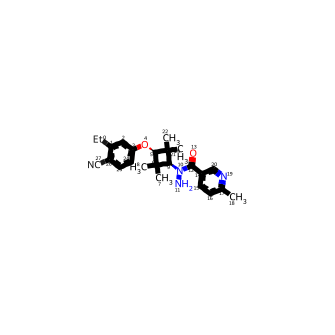 CCc1cc(O[C@H]2C(C)(C)[C@H](N(N)C(=O)c3ccc(C)nc3)C2(C)C)ccc1C#N